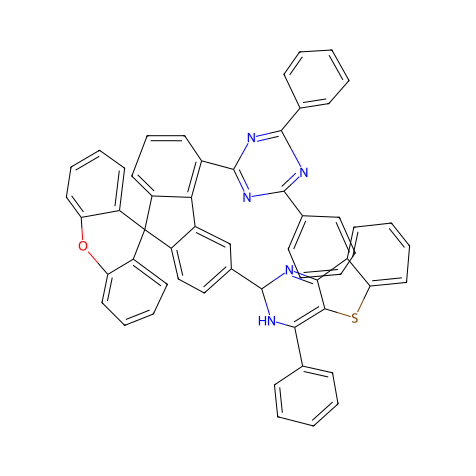 c1ccc(C2=c3sc4ccccc4c3=NC(c3ccc4c(c3)-c3c(-c5nc(-c6ccccc6)nc(-c6ccccc6)n5)cccc3C43c4ccccc4Oc4ccccc43)N2)cc1